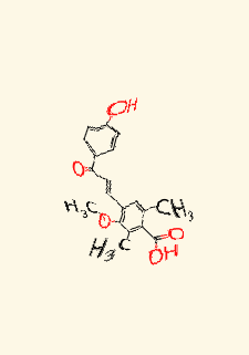 COc1c(C=CC(=O)c2ccc(O)cc2)cc(C)c(C(=O)O)c1C